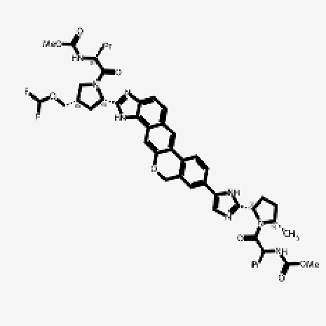 COC(=O)NC(C(=O)N1[C@@H](C)CC[C@H]1c1ncc(-c2ccc3c(c2)COc2cc4c(ccc5nc([C@@H]6C[C@H](COC(F)F)CN6C(=O)[C@@H](NC(=O)OC)C(C)C)[nH]c54)cc2-3)[nH]1)C(C)C